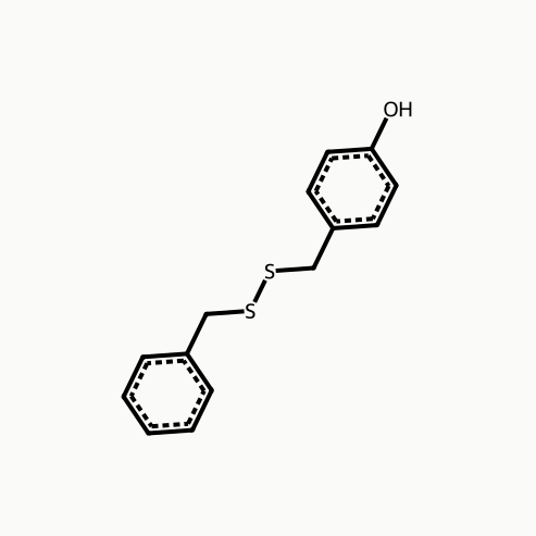 Oc1ccc(CSSCc2ccccc2)cc1